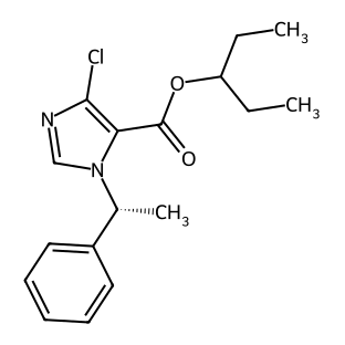 CCC(CC)OC(=O)c1c(Cl)ncn1[C@H](C)c1ccccc1